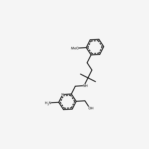 COc1ccccc1CCC(C)(C)NCc1nc(N)ccc1CO